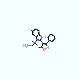 Cc1onc(-c2ccccc2)c1-c1[nH]c2ccc(F)cc2c1C(C)(C)CN